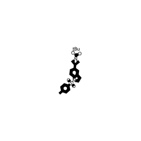 Cc1ccc(S(=O)(=O)n2ccc3cc(C4CN(C(=O)OC(C)(C)C)C4)ccc32)cc1